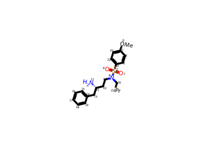 COc1ccc(S(=O)(=O)N(CC[C@@H](N)Cc2ccccc2)CC(C)C)cc1